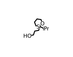 CC(C)[Si]1(CCCO)CCCCO1